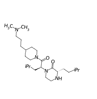 CC(C)CC[C@@H]1NCCN([C@@H](CC(C)C)C(=O)N2CCC(CCCN(C)C)CC2)C1=O